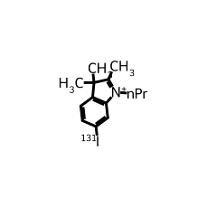 CCC[N+]1=C(C)C(C)(C)c2ccc([131I])cc21